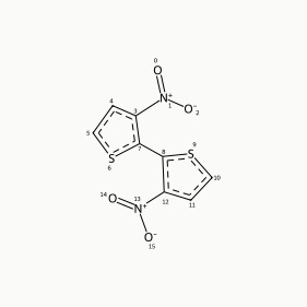 O=[N+]([O-])c1ccsc1-c1sccc1[N+](=O)[O-]